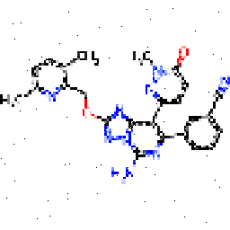 Cc1ccc(C)c(COc2nc3c(-c4ccc(=O)n(C)n4)c(-c4cccc(C#N)c4)nc(N)n3n2)n1